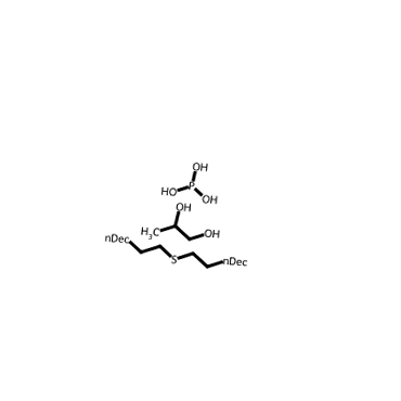 CC(O)CO.CCCCCCCCCCCCSCCCCCCCCCCCC.OP(O)O